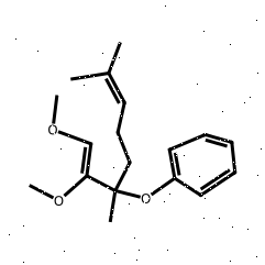 COC=C(OC)C(C)(CCC=C(C)C)Oc1ccccc1